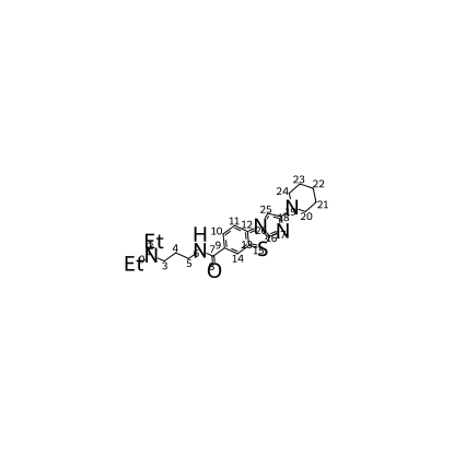 CCN(CC)CCCNC(=O)c1ccc2c(c1)sc1nc(N3CCCCC3)cn12